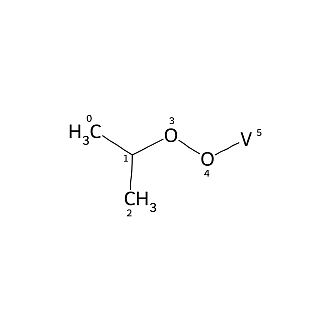 CC(C)O[O][V]